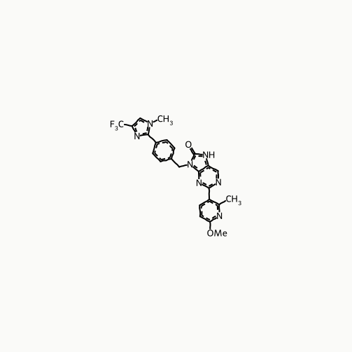 COc1ccc(-c2ncc3[nH]c(=O)n(Cc4ccc(-c5nc(C(F)(F)F)cn5C)cc4)c3n2)c(C)n1